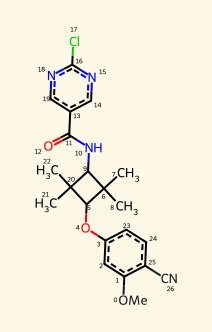 COc1cc(OC2C(C)(C)C(NC(=O)c3cnc(Cl)nc3)C2(C)C)ccc1C#N